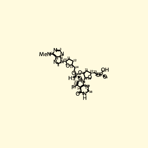 CNc1ncnc2c1ncn2[C@H]1CCC(COP(=O)(S)O[C@@H]2C[C@@H](CO[PH](=O)O)O[C@H]2n2cc(F)c3c(=O)[nH]cnc32)O1